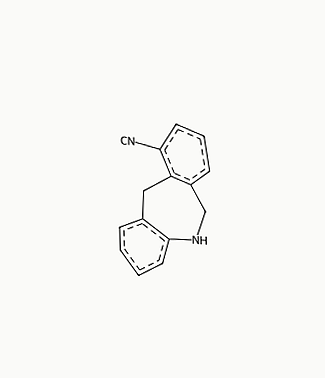 [C-]#[N+]c1cccc2c1Cc1ccccc1NC2